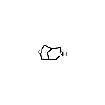 [CH]1C2CNCC1COC2